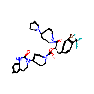 O=C(O[C@H](Cc1ccc(C(F)(F)F)c(Br)c1)C(=O)N1CCC(N2CCCCC2)CC1)N1CCC(N2CCc3ccccc3NC2=O)CC1